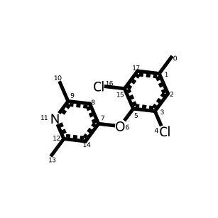 Cc1cc(Cl)c(Oc2cc(C)nc(C)c2)c(Cl)c1